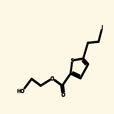 O=C(OCCO)c1ccc(CCI)s1